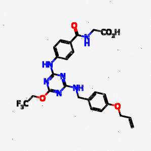 C=CCOc1ccc(CNc2nc(Nc3ccc(C(=O)NCC(=O)O)cc3)nc(OCC(F)(F)F)n2)cc1